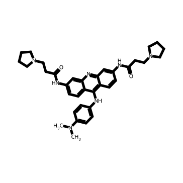 CN(C)c1ccc(Nc2c3ccc(NC(=O)CCN4CCCC4)cc3nc3cc(NC(=O)CCN4CCCC4)ccc23)cc1